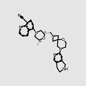 C[C@@H]1CN(c2ccc(C#N)c3ncccc23)C[C@H](CN2CC3(C2)CN(c2cc4c(cn2)CCNC4)CCO3)O1